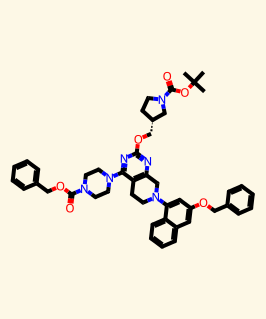 CC(C)(C)OC(=O)N1CC[C@@H](COc2nc3c(c(N4CCN(C(=O)OCc5ccccc5)CC4)n2)CCN(c2cc(OCc4ccccc4)cc4ccccc24)C3)C1